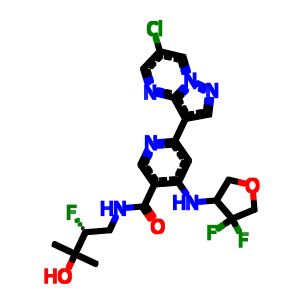 CC(C)(O)[C@H](F)CNC(=O)c1cnc(-c2cnn3cc(Cl)cnc23)cc1NC1COCC1(F)F